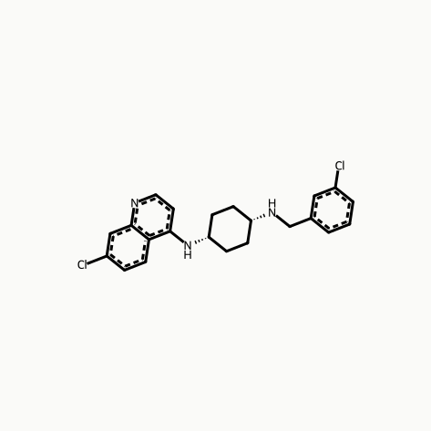 Clc1cccc(CN[C@H]2CC[C@@H](Nc3ccnc4cc(Cl)ccc34)CC2)c1